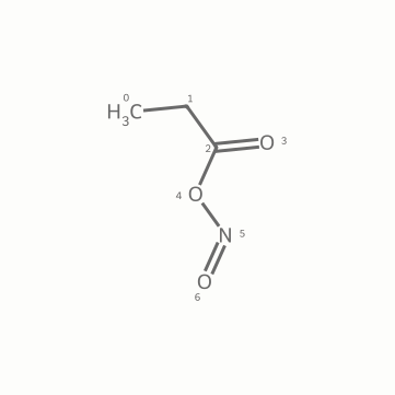 CCC(=O)ON=O